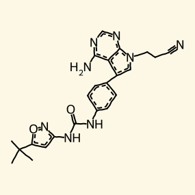 CC(C)(C)c1cc(NC(=O)Nc2ccc(-c3cn(CCC#N)c4ncnc(N)c34)cc2)no1